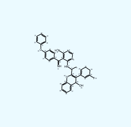 CC(Nc1ncnc(N)c1C(=N)c1ccc(Oc2ccccc2)cc1)C1=C(C2=CCCC(F)=C2)C(O)c2ccccc2O1